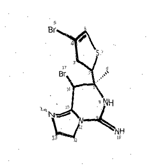 C[C@]1(C2CC(Br)=CS2)NC(=N)N2CCN=C2C1Br